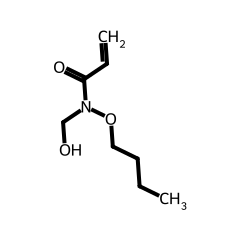 C=CC(=O)N(CO)OCCCC